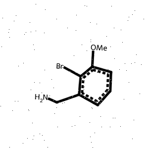 COc1cccc(CN)c1Br